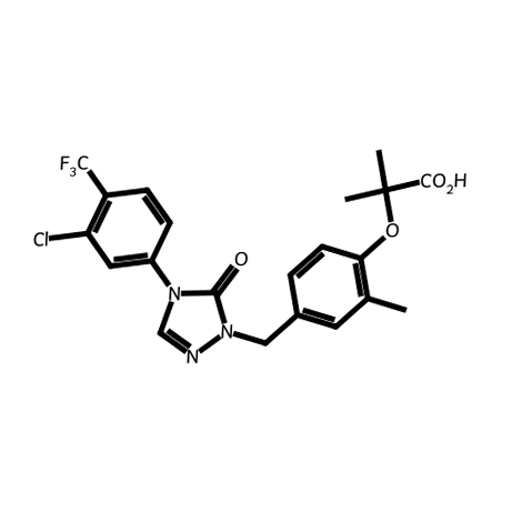 Cc1cc(Cn2ncn(-c3ccc(C(F)(F)F)c(Cl)c3)c2=O)ccc1OC(C)(C)C(=O)O